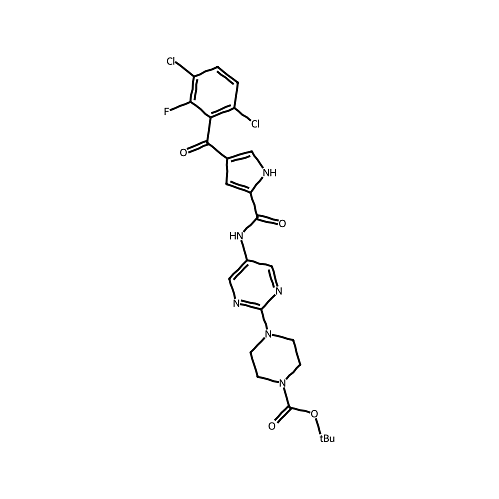 CC(C)(C)OC(=O)N1CCN(c2ncc(NC(=O)c3cc(C(=O)c4c(Cl)ccc(Cl)c4F)c[nH]3)cn2)CC1